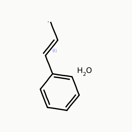 O.[CH2]/C=C/c1ccccc1